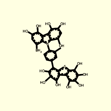 Bc1cc(O)c(O)c2c3c(O)c(O)cc(O)c3n(-c3ccc(-c4c(O)c(O)c(O)c5c4sc4c(O)c(O)c(O)c(O)c45)cc3C)c12